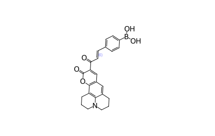 O=C(/C=C/c1ccc(B(O)O)cc1)c1cc2cc3c4c(c2oc1=O)CCCN4CCC3